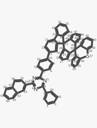 c1ccc(-c2nc(-c3ccc(-c4ccc5c(c4)C4(c6ccccc6-5)c5ccccc5C5(c6ccccc6Sc6ccccc65)c5ccccc54)cc3)nc(-c3ccc4ccccc4c3)n2)cc1